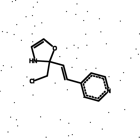 ClCC1(/C=C/c2ccncc2)NC=CO1